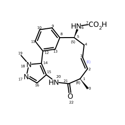 C[C@@H]1/C=C/C[C@H](NC(=O)O)c2cccc(c2)-c2c(cnn2C)NC1=O